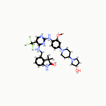 COc1cc(N2CCC(N3CC[C@H](O)C3)CC2)ccc1Nc1ncc(C(F)(F)F)c(NCc2cccc3c2C(C)(C)C(=O)N3)n1